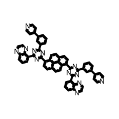 c1cc(-c2ccncc2)cc(-c2nc(-c3ccc4ccc5c(-c6nc(-c7cccc(-c8ccncc8)c7)nc(-c7cccc8nccnc78)n6)ccc6ccc3c4c65)nc(-c3cccc4nccnc34)n2)c1